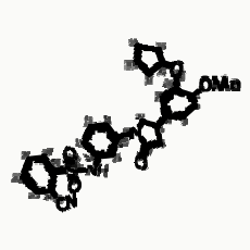 COc1ccc(C2CC(=O)N(c3cccc(NS(=O)(=O)c4ccccc4C#N)c3)C2)cc1OC1CCCC1